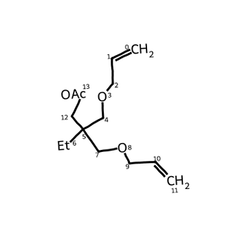 C=CCOCC(CC)(COCC=C)COC(C)=O